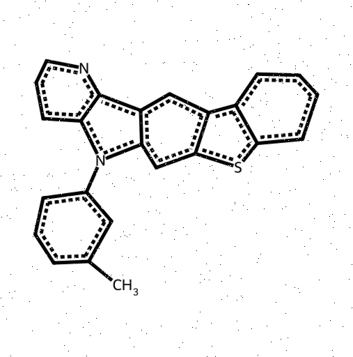 Cc1cccc(-n2c3cc4sc5ccccc5c4cc3c3ncccc32)c1